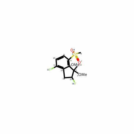 COC1(OC)c2c(S(C)(=O)=O)ccc(F)c2CC1F